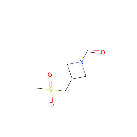 CS(=O)(=O)CC1CN(C=O)C1